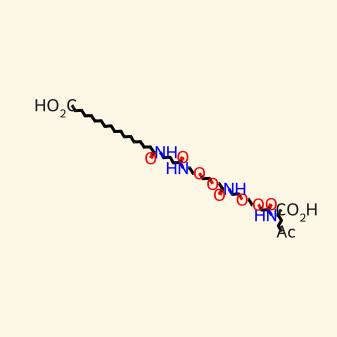 CC(=O)CCC(NC(=O)COCCOCCNC(=O)COCCOCCNC(=O)CCCNC(=O)CCCCCCCCCCCCCCCCC(=O)O)C(=O)O